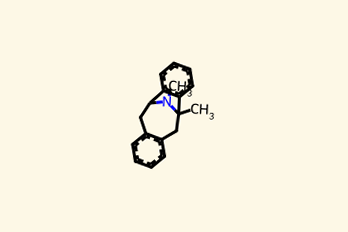 CN1C2Cc3ccccc3CC1(C)c1ccccc12